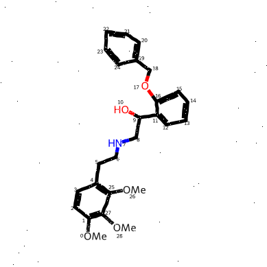 COc1ccc(CCNCC(O)c2ccccc2OCc2ccccc2)c(OC)c1OC